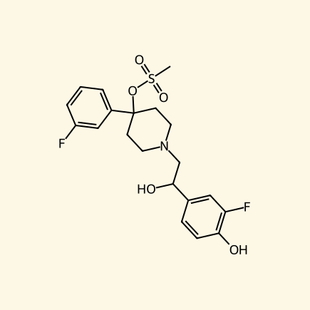 CS(=O)(=O)OC1(c2cccc(F)c2)CCN(CC(O)c2ccc(O)c(F)c2)CC1